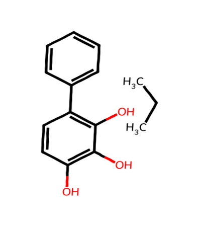 CCC.Oc1ccc(-c2ccccc2)c(O)c1O